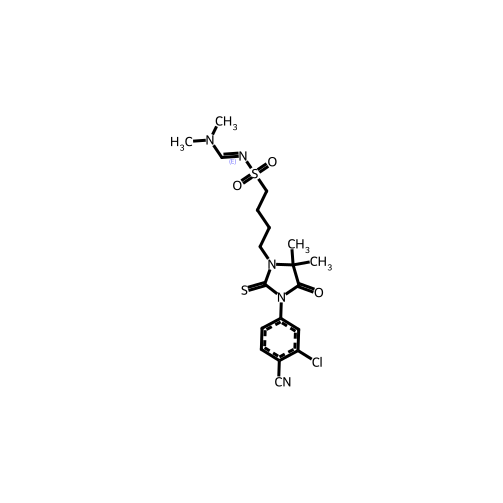 CN(C)/C=N/S(=O)(=O)CCCCN1C(=S)N(c2ccc(C#N)c(Cl)c2)C(=O)C1(C)C